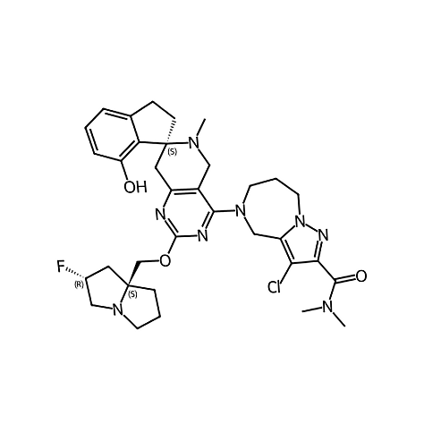 CN(C)C(=O)c1nn2c(c1Cl)CN(c1nc(OC[C@@]34CCCN3C[C@H](F)C4)nc3c1CN(C)[C@@]1(CCc4cccc(O)c41)C3)CCC2